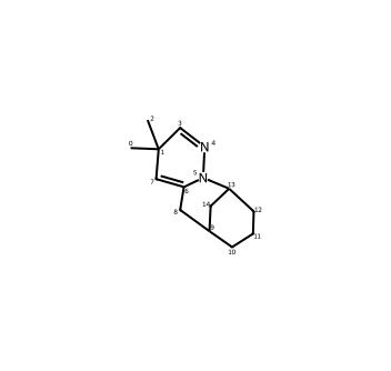 CC1(C)C=NN2C(=C1)CC1CCCC2C1